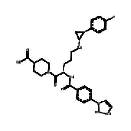 O=C(N[C@@H](CCCN[C@@H]1C[C@H]1c1ccc(F)cc1)C(=O)N1CCC(C(=O)O)CC1)c1ccc(N2C=CNN2)cc1